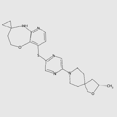 C[C@H]1CC2(CCN(c3cnc(Sc4ccnc5c4OCCC4(CC4)N5)cn3)CC2)CO1